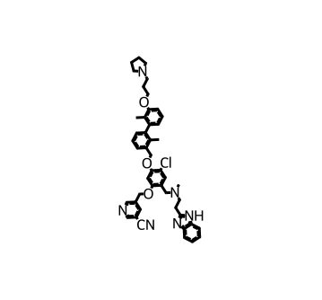 Cc1c(COc2cc(OCc3cncc(C#N)c3)c(CN(C)CCc3nc4ccccc4[nH]3)cc2Cl)cccc1-c1cccc(OCCCN2CCCC2)c1C